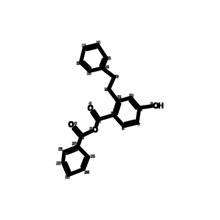 O=C(OC(=O)c1ccc(O)cc1CCc1ccccc1)c1ccccc1